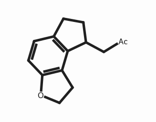 CC(=O)CC1CCc2ccc3c(c21)CCO3